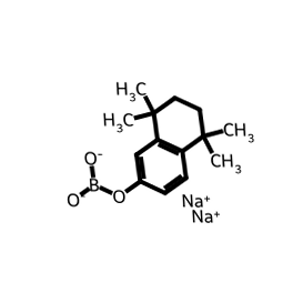 CC1(C)CCC(C)(C)c2cc(OB([O-])[O-])ccc21.[Na+].[Na+]